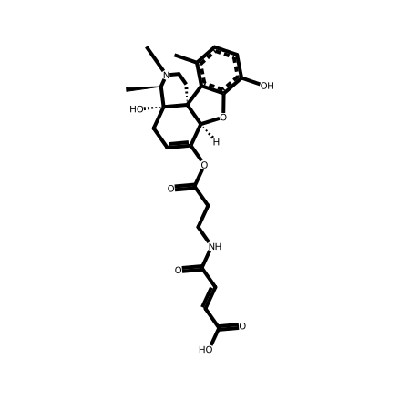 Cc1ccc(O)c2c1[C@]13CCN(C)[C@H](C)[C@]1(O)CC=C(OC(=O)CCNC(=O)/C=C/C(=O)O)[C@@H]3O2